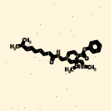 CNCC1(OC)CN(CNC(=O)CCCC/C=C/C(C)C)CCN1C(=O)Oc1ccccc1